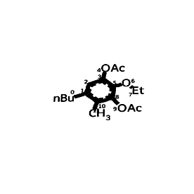 CCCCc1cc(OC(C)=O)c(OCC)c(OC(C)=O)c1C